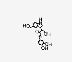 O=C(/C=C/c1ccc(O)c(O)c1)C(CO)C1CNc2ccc(CO)cc21